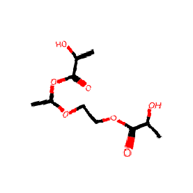 CC(OCCOC(=O)C(C)O)OC(=O)C(C)O